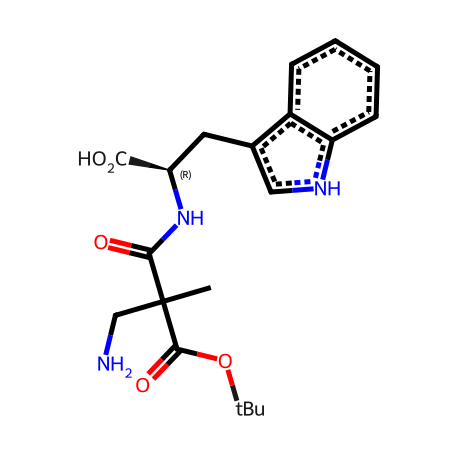 CC(C)(C)OC(=O)C(C)(CN)C(=O)N[C@H](Cc1c[nH]c2ccccc12)C(=O)O